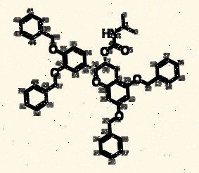 CC(C)NC(=O)O[C@@H]1Cc2c(OCc3ccccc3)cc(OCc3ccccc3)cc2O[C@@H]1c1ccc(OCc2ccccc2)c(OCc2ccccc2)c1